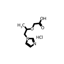 CC(Cn1ccnc1)OCC(=O)O.Cl